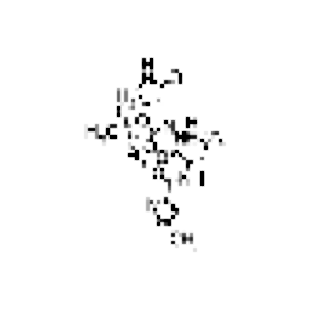 Cc1cc(C(=O)NC(CC2(C)CC2)C(=O)NN(C[C@@H]2CCNC2=O)C(=O)OC(C)(C)C)no1